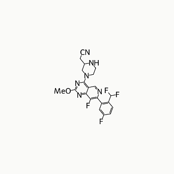 COc1nc(N2CCNC(CC#N)C2)c2cnc(-c3cc(F)ccc3C(F)F)c(F)c2n1